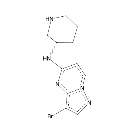 Brc1cnn2ccc(N[C@H]3CCCNC3)nc12